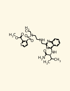 CCN(CCNCc1nc(N[C@H](C(N)=O)C(C)C)c2ccccc2n1)S(=O)(=O)c1ccsc1C(=O)OC